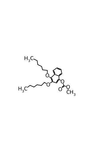 CCCCCCOc1cc(OC(=O)OC)c2ccccc2c1OCCCCCC